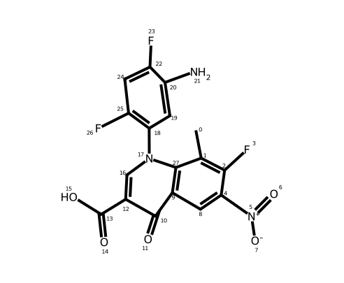 Cc1c(F)c([N+](=O)[O-])cc2c(=O)c(C(=O)O)cn(-c3cc(N)c(F)cc3F)c12